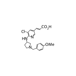 COc1ccc(CN2CC[C@@H](Nc3ncc(C=CC(=O)O)cc3Cl)C2)cc1